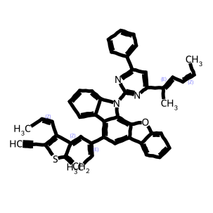 C#Cc1sc(=C)/c(=C\C(=C/C)c2cc3c4ccccc4oc3c3c2c2ccccc2n3-c2nc(/C(C)=C/C=C\C)cc(-c3ccccc3)n2)c1/C=C\C